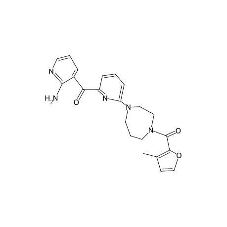 Cc1ccoc1C(=O)N1CCCN(c2cccc(C(=O)c3cccnc3N)n2)CC1